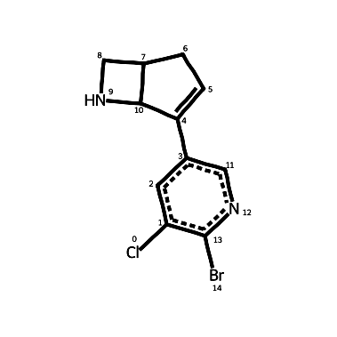 Clc1cc(C2=CCC3CNC23)cnc1Br